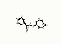 O=C(OCN1CCCNCC1)c1ccccc1